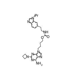 CC(C)n1cnc2ccc(CCNC(=O)OCCCCn3cnc4c(N)nc(N5CCC5)nc43)cc21